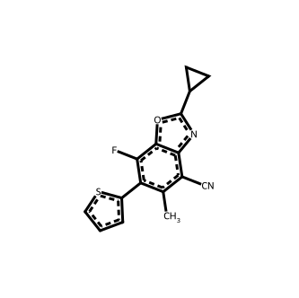 Cc1c(-c2cccs2)c(F)c2oc(C3CC3)nc2c1C#N